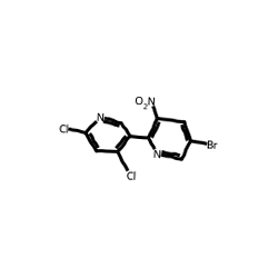 O=[N+]([O-])c1cc(Br)cnc1-c1cnc(Cl)cc1Cl